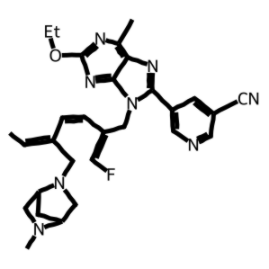 C\C=C(/C=C\C(=C\F)Cn1c(-c2cncc(C#N)c2)nc2c(C)nc(OCC)nc21)CN1CC2CC1CN2C